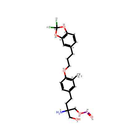 NC(CO)(CCc1ccc(OCCCc2ccc3c(c2)OC(F)(F)O3)c(C(F)(F)F)c1)COP=O